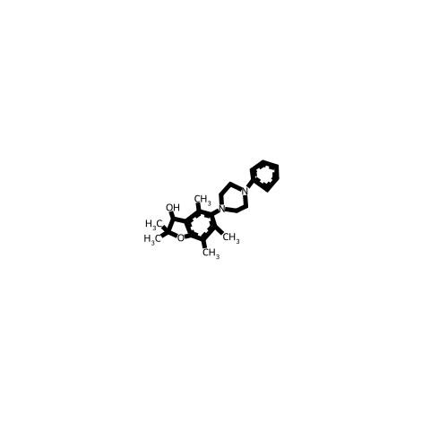 Cc1c(C)c(N2CCN(c3ccccc3)CC2)c(C)c2c1OC(C)(C)C2O